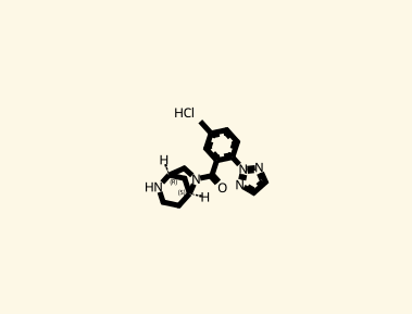 Cc1ccc(-n2nccn2)c(C(=O)N2C[C@H]3C[C@@H]2CCN3)c1.Cl